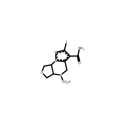 NC(=O)c1c(I)nn2c1CN(C(=O)O)C1COCC12